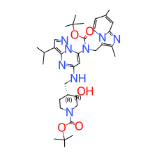 Cc1ccn2c(CN(C(=O)OC(C)(C)C)c3cc(NC[C@H]4CCN(C(=O)OC(C)(C)C)C[C@@H]4O)nc4c(C(C)C)cnn34)c(C)nc2c1